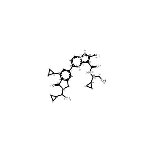 CC(C1CC1)N1Cc2cc(-c3ccn4nc(N)c(C(=O)N[C@@H](CO)C5CC5)c4n3)cc(C3CC3)c2C1=O